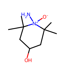 CC1(C)CC(O)CC(C)(C)[N+]1(N)[O-]